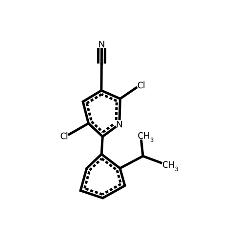 CC(C)c1ccccc1-c1nc(Cl)c(C#N)cc1Cl